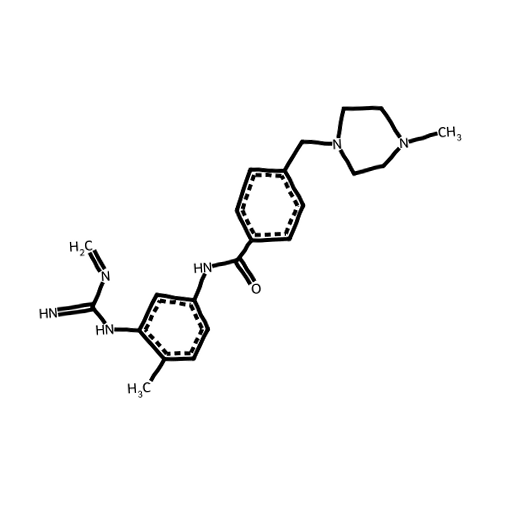 C=NC(=N)Nc1cc(NC(=O)c2ccc(CN3CCN(C)CC3)cc2)ccc1C